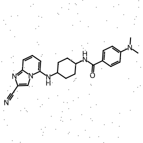 CN(C)c1ccc(C(=O)NC2CCC(Nc3cccc4nc(C#N)cn34)CC2)cc1